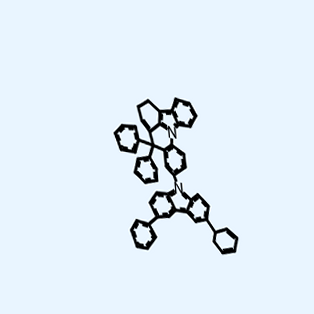 C1=CCC(c2ccc3c(c2)c2cc(-c4ccccc4)ccc2n3-c2ccc3c(c2)C(c2ccccc2)(c2ccccc2)C2=CCCc4c2n-3c2ccccc42)C=C1